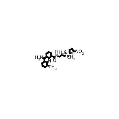 Cc1cccc2c(N)c3cccc(C(=O)NCCC[N+](C)(C)c4ccc([N+](=O)[O-])s4)c3nc12